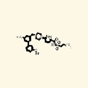 CCOc1cccc(-c2cc(CN3CCN(c4ccc(C(=O)NS(=O)(=O)CCC(F)(F)F)nn4)CC3)cc(C(F)(F)F)c2)c1